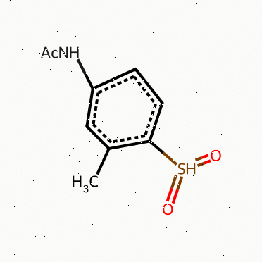 CC(=O)Nc1ccc([SH](=O)=O)c(C)c1